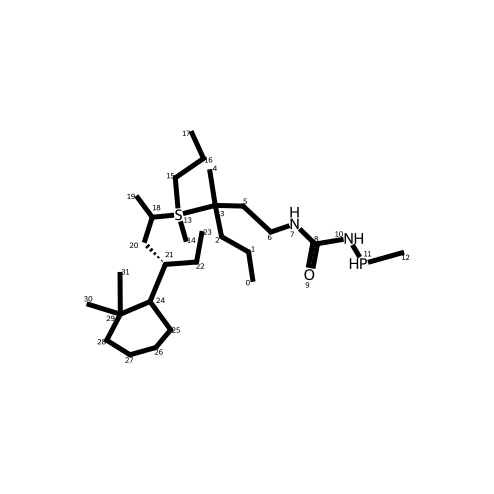 CCCC(C)(CCNC(=O)NPC)S(C)(CCC)C(C)C[C@H](CC)C1CCCCC1(C)C